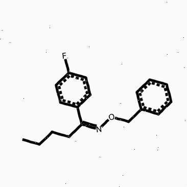 CCCCC(=NOCc1ccccc1)c1ccc(F)cc1